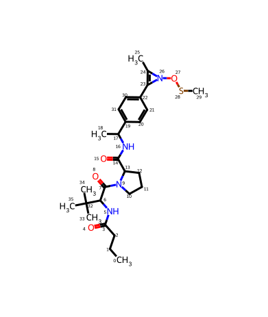 CCCC(=O)NC(C(=O)N1CCCC1C(=O)NC(C)c1ccc(C2=C(C)N2OSC)cc1)C(C)(C)C